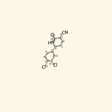 N#Cc1ccc(-c2ccc(Cl)c(Cl)c2)[nH]c1=O